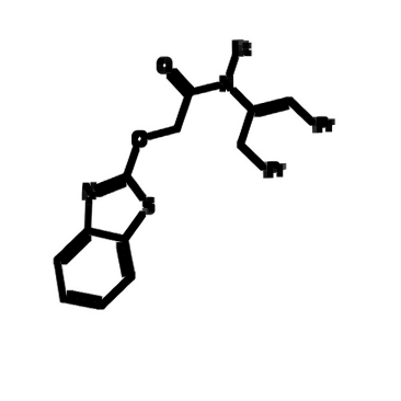 CCN(C(=O)COc1nc2ccccc2s1)C(=CC(C)C)CC(C)C